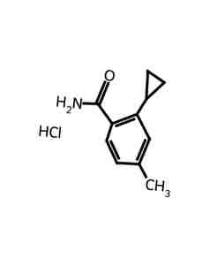 Cc1ccc(C(N)=O)c(C2CC2)c1.Cl